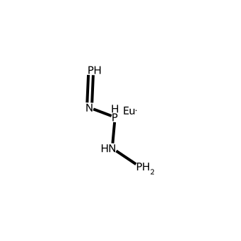 P=NPNP.[Eu]